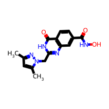 Cc1cc(C)n(Cc2nc3cc(C(=O)NO)ccc3c(=O)[nH]2)n1